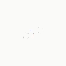 O=C1c2ccccc2S[N+]1(Cl)c1ccccc1